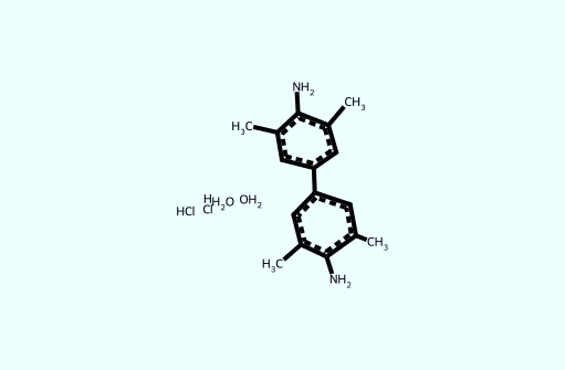 Cc1cc(-c2cc(C)c(N)c(C)c2)cc(C)c1N.Cl.Cl.O.O